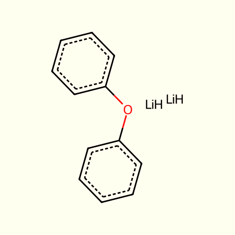 [LiH].[LiH].c1ccc(Oc2ccccc2)cc1